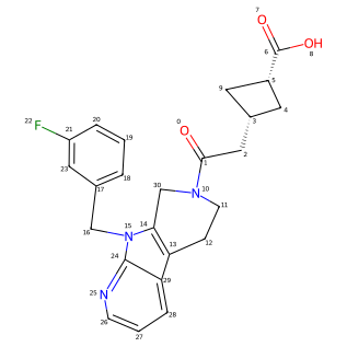 O=C(C[C@H]1C[C@@H](C(=O)O)C1)N1CCc2c(n(Cc3cccc(F)c3)c3ncccc23)C1